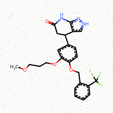 COCCCOc1cc(C2CC(=O)Nc3n[nH]cc32)ccc1OCc1ccccc1C(F)(F)F